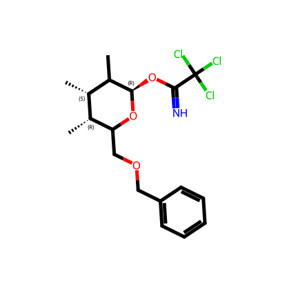 CC1[C@@H](OC(=N)C(Cl)(Cl)Cl)OC(COCc2ccccc2)[C@H](C)[C@@H]1C